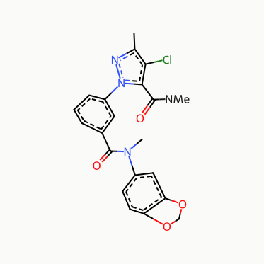 CNC(=O)c1c(Cl)c(C)nn1-c1cccc(C(=O)N(C)c2ccc3c(c2)OCO3)c1